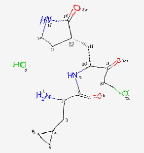 Cl.NC(CC1CC1)C(=O)NC(C[C@@H]1CCNC1=O)C(=O)CCl